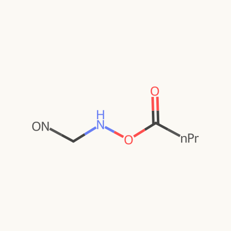 CCCC(=O)ONCN=O